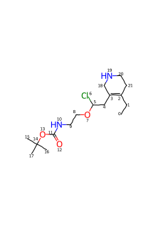 CCC1=C(CC(Cl)OCCNC(=O)OC(C)(C)C)CNCC1